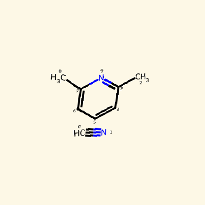 C#N.Cc1cccc(C)n1